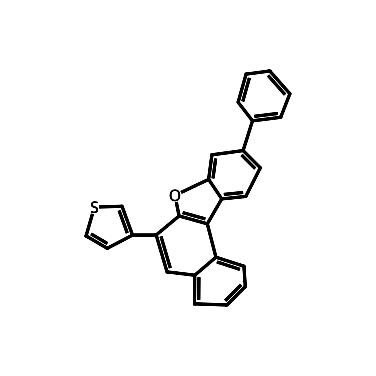 c1ccc(-c2ccc3c(c2)oc2c(-c4ccsc4)cc4ccccc4c23)cc1